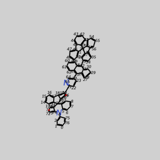 c1ccc(N2c3ccccc3C3(c4ccccc4-c4cc(-c5ccc(-c6c7ccccc7c(-c7ccc8c(c7)C7(c9ccccc9-c9ccccc97)c7ccccc7-8)c7ccccc67)cn5)ccc43)c3ccccc32)cc1